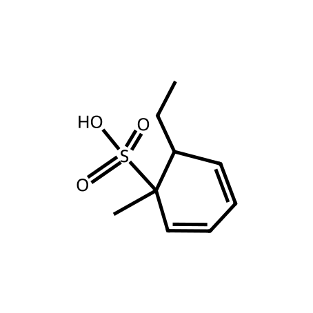 CCC1C=CC=CC1(C)S(=O)(=O)O